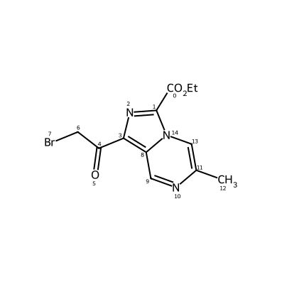 CCOC(=O)c1nc(C(=O)CBr)c2cnc(C)cn12